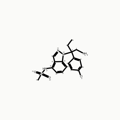 CCC(CN)(c1ccc(Cl)cc1)n1ncc2c(NS(C)(=O)=O)cccc21